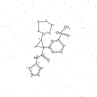 CS(=O)(=O)c1cccc(C2(C(=O)Nc3nccs3)CC2C2CCCCC2)c1